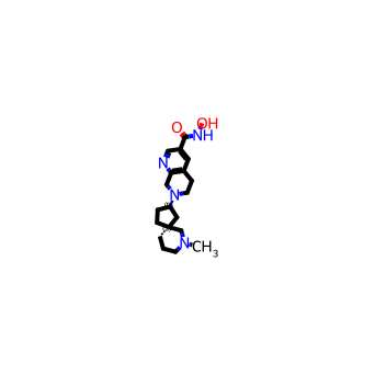 CN1CCC[C@@]2(CC[C@@H](N3CCc4cc(C(=O)NO)cnc4C3)C2)C1